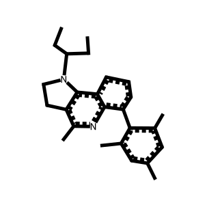 CCC(CC)N1CCc2c(C)nc3c(-c4c(C)cc(C)cc4C)cccc3c21